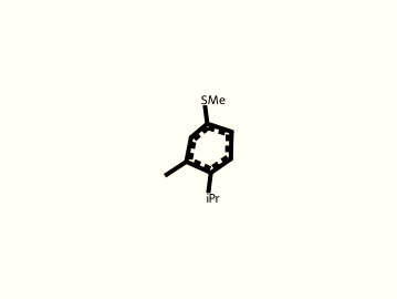 CSc1ccc(C(C)C)c(C)c1